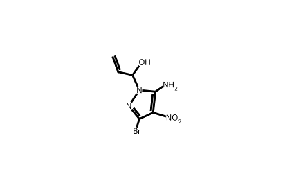 C=CC(O)n1nc(Br)c([N+](=O)[O-])c1N